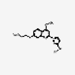 COCCCc1ccc2c(OC(C)(C)C)cc(-n3ccc(NC(C)C)n3)nc2c1